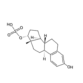 C[C@]12CC[C@@H]3c4ccc(O)cc4CC[C@H]3[C@@H]1CC[C@H]2OS(=O)(=O)O